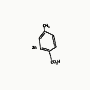 Cc1ccc(C(=O)O)cc1.[Zn]